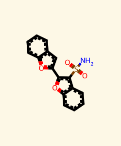 NS(=O)(=O)c1c(-c2cc3ccccc3o2)oc2ccccc12